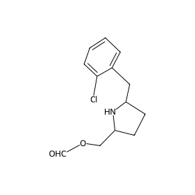 O=COCC1CCC(Cc2ccccc2Cl)N1